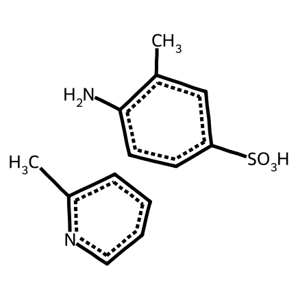 Cc1cc(S(=O)(=O)O)ccc1N.Cc1ccccn1